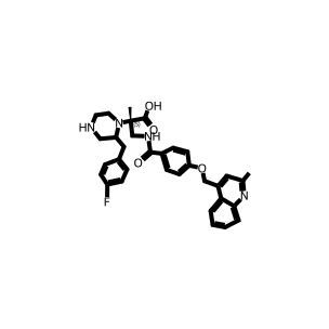 Cc1cc(COc2ccc(C(=O)NC[C@@](C)(C(=O)O)N3CCNCC3Cc3ccc(F)cc3)cc2)c2ccccc2n1